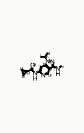 CNc1nn(C(C)C)c2cc(NC(=O)C3CC3)ncc12